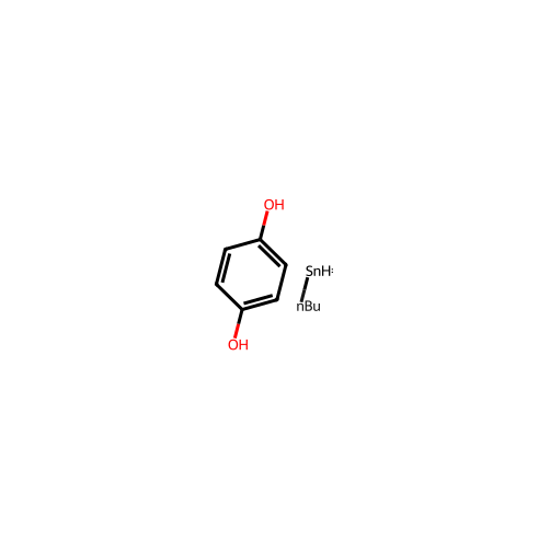 CCC[CH2][SnH].Oc1ccc(O)cc1